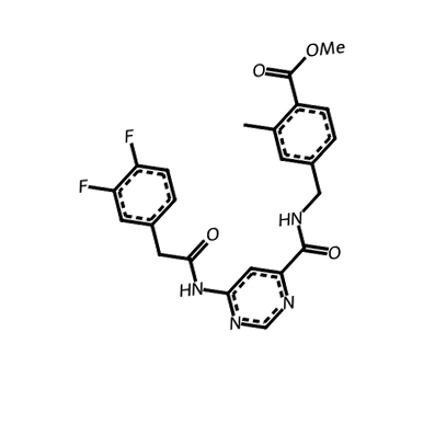 COC(=O)c1ccc(CNC(=O)c2cc(NC(=O)Cc3ccc(F)c(F)c3)ncn2)cc1C